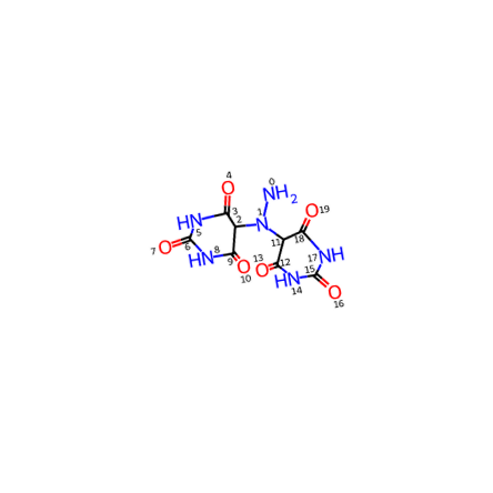 NN(C1C(=O)NC(=O)NC1=O)C1C(=O)NC(=O)NC1=O